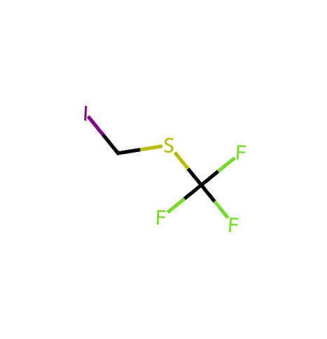 FC(F)(F)SCI